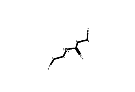 O=C(CCF)NCCF